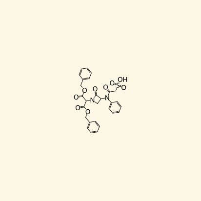 O=C(OCc1ccccc1)C(C(=O)OCc1ccccc1)N1CC(N(C(=O)CS(=O)(=O)O)c2ccccc2)C1=O